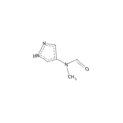 CN(C=O)c1cn[nH]c1